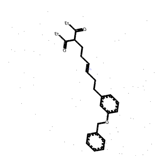 CCC(=O)C(CC/C=C/CCc1cccc(OCc2ccccc2)c1)C(=O)CC